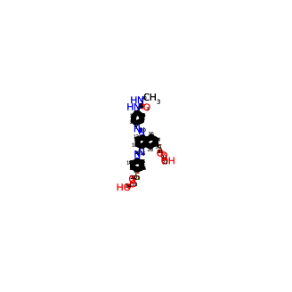 CNC(=O)Nc1ccc(N=Nc2ccc(N=Nc3ccc(SOOO)cc3)c3cc(SOOO)ccc23)cc1